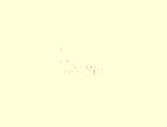 O=C(CCC1CCCC1)N/C(=C/c1ccc(Oc2ccc(Cl)cc2Cl)cc1)C(=O)O